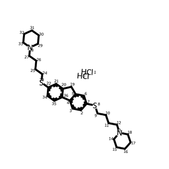 Cl.Cl.c1cc2c(cc1SCCCCN1CCCCC1)Cc1cc(SCCCCN3CCCCC3)ccc1-2